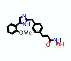 COc1ccccc1-c1cnc(Cc2ccc(/C=C/C(=O)NO)cc2)[nH]1